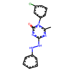 Cc1nc(NNc2ccccc2)nc(=O)n1-c1cccc(Cl)c1